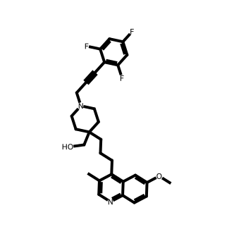 COc1ccc2ncc(C)c(CCCC3(CO)CCN(CC#Cc4c(F)cc(F)cc4F)CC3)c2c1